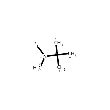 CN(I)C(C)(C)C